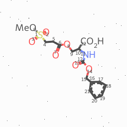 COS(=O)(=O)CCC(=O)OCC(NC(=O)OCc1ccccc1)C(=O)O